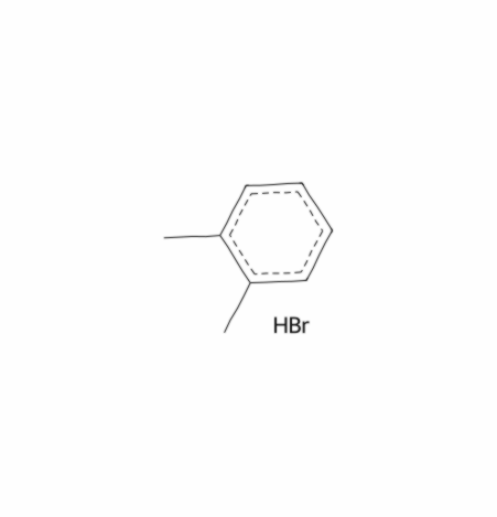 Br.Cc1ccccc1C